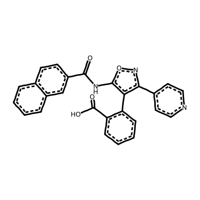 O=C(Nc1onc(-c2ccncc2)c1-c1ccccc1C(=O)O)c1ccc2ccccc2c1